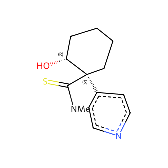 CNC(=S)[C@]1(c2ccncc2)CCCC[C@H]1O